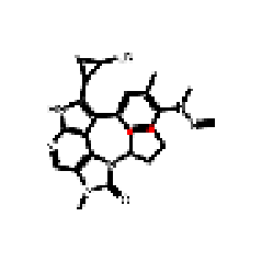 C=NN(C)c1ccc(-c2c(C3CC3C#N)[nH]c3ncc4c(c23)n(C2CCCC2)c(=O)n4C)cc1C